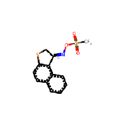 O=S(=O)(O/N=C1\CSc2ccc3ccccc3c21)C(F)(F)F